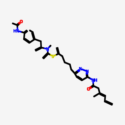 C=C/C=C(\C)CC(=O)Nc1ccc(CCCCC(=C)SC(=C)N(C)C(=C)CC(/C=C\C(=C)NC(C)=O)=C/C)nn1